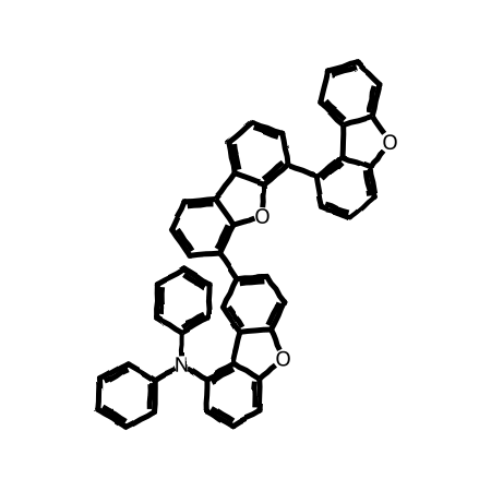 c1ccc(N(c2ccccc2)c2cccc3oc4ccc(-c5cccc6c5oc5c(-c7cccc8oc9ccccc9c78)cccc56)cc4c23)cc1